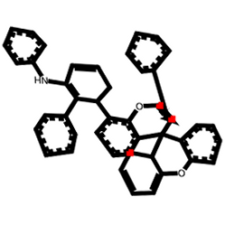 C1=CCC2C(=C1)Oc1ccccc1C21c2cccc(-c3ccccc3)c2Oc2c(C3CC=CC(Nc4ccccc4)=C3c3ccccc3)cccc21